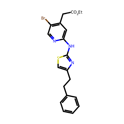 CCOC(=O)Cc1cc(Nc2nc(CCc3ccccc3)cs2)ncc1Br